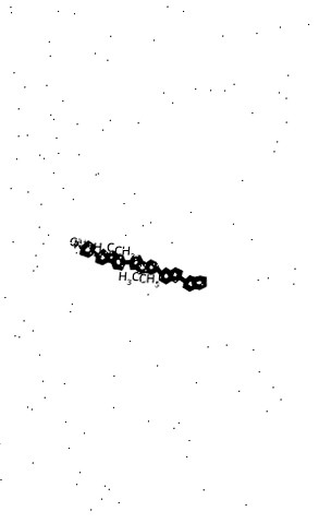 [C-]#[N+]c1ccc(-c2ccc3c(c2)C(C)(C)c2cc(-c4ccc5c(c4)C(C)(C)c4cc(-c6ccc7cc(-c8ccc9ccccc9c8)ccc7c6)ccc4-5)ccc2-3)cc1